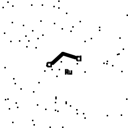 ClCCl.[Ru]